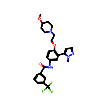 COC1CCN(CCOc2ccc(NC(=O)c3cccc(C(F)(F)F)c3)cc2-c2ccnn2C)CC1